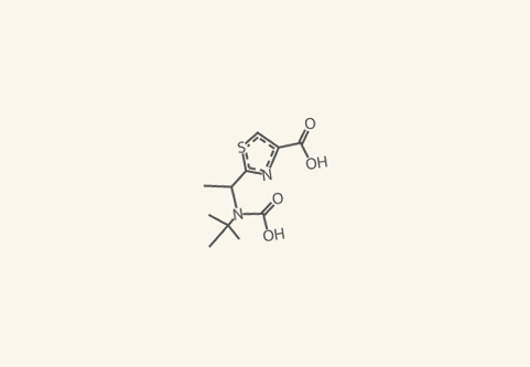 CC(c1nc(C(=O)O)cs1)N(C(=O)O)C(C)(C)C